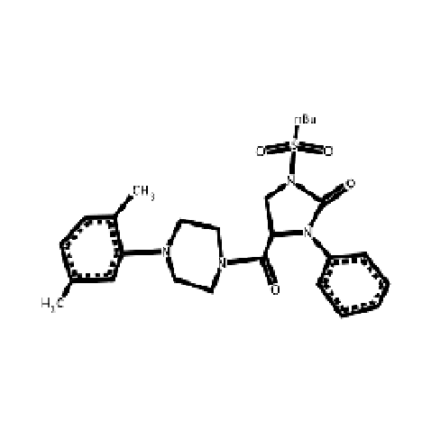 CCCCS(=O)(=O)N1CC(C(=O)N2CCN(c3cc(C)ccc3C)CC2)N(c2ccccc2)C1=O